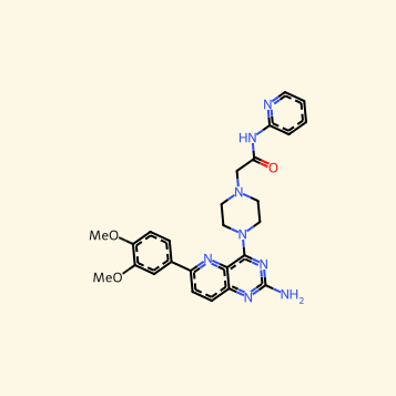 COc1ccc(-c2ccc3nc(N)nc(N4CCN(CC(=O)Nc5ccccn5)CC4)c3n2)cc1OC